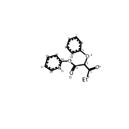 CCC(=O)C(Oc1ccccc1)C(=O)Oc1ccccn1